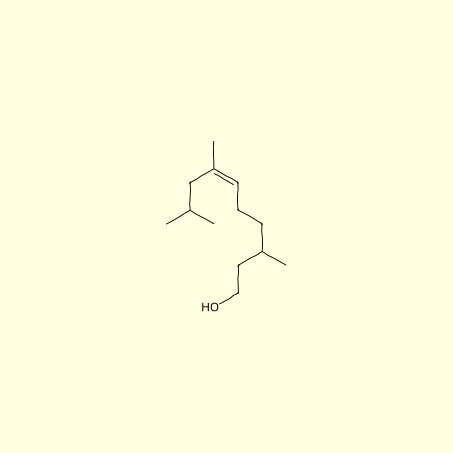 CC(=CCCC(C)CCO)CC(C)C